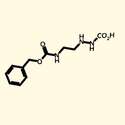 O=C(O)NNCCNC(=O)OCc1ccccc1